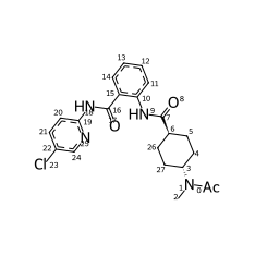 CC(=O)N(C)[C@H]1CC[C@H](C(=O)Nc2ccccc2C(=O)Nc2ccc(Cl)cn2)CC1